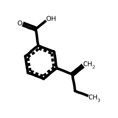 C=C(CC)c1cccc(C(=O)O)c1